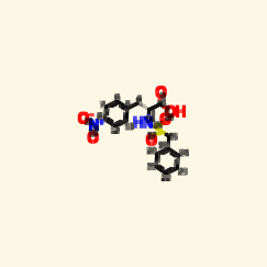 O=C(O)[C@@H](Cc1ccc([N+](=O)[O-])cc1)NS(=O)(=O)Cc1ccccc1